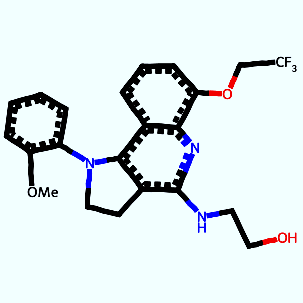 COc1ccccc1N1CCc2c(NCCO)nc3c(OCC(F)(F)F)cccc3c21